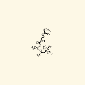 C=CC(=O)OCCNC(=O)OC(C)COC(C)CC(C)(C)OC(C)C